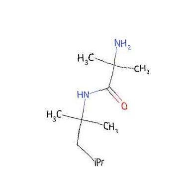 CC(C)CC(C)(C)NC(=O)C(C)(C)N